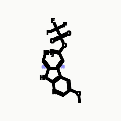 C=C(/C=c1\c(=C/N)[nH]c2ncc(OC)cc12)OS(=O)(=O)C(F)(F)F